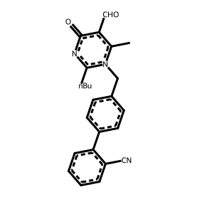 CCCCc1nc(=O)c(C=O)c(C)n1Cc1ccc(-c2ccccc2C#N)cc1